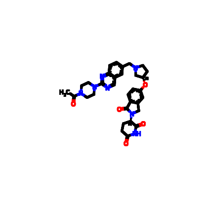 CC(=O)N1CCN(c2ncc3cc(CN4CC[C@H](Oc5ccc6c(c5)CN([C@H]5CCC(=O)NC5=O)C6=O)C4)ccc3n2)CC1